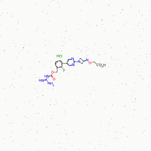 Cl.N=C(N)NC(=O)OCc1cccc(-c2cnc(N3CC(=NOCC(=O)O)C3)nc2)c1F